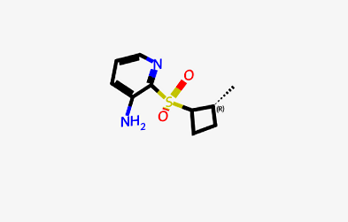 C[C@@H]1CCC1S(=O)(=O)c1ncccc1N